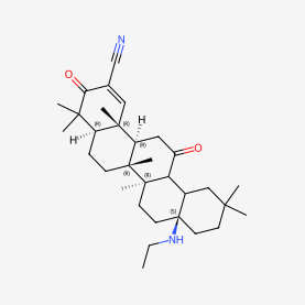 CCN[C@]12CCC(C)(C)CC1C1C(=O)C[C@@H]3[C@@]4(C)C=C(C#N)C(=O)C(C)(C)[C@@H]4CC[C@@]3(C)[C@]1(C)CC2